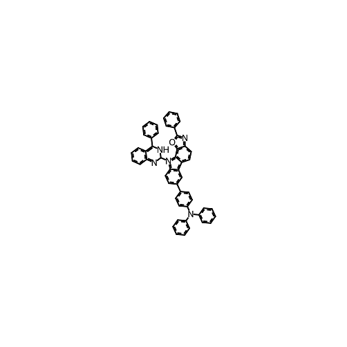 c1ccc(C2=c3ccccc3=NC(n3c4ccc(-c5ccc(N(c6ccccc6)c6ccccc6)cc5)cc4c4ccc5nc(-c6ccccc6)oc5c43)N2)cc1